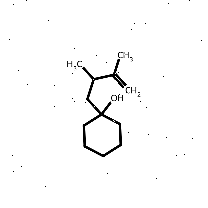 C=C(C)C(C)CC1(O)CCCCC1